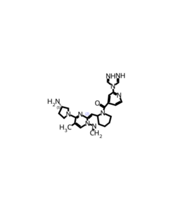 C=NN1C=C(C)C(N2CC[C@H](N)C2)=N/C1=C/C1CCCCN1C(=O)c1ccnc(N(C=N)C=N)c1